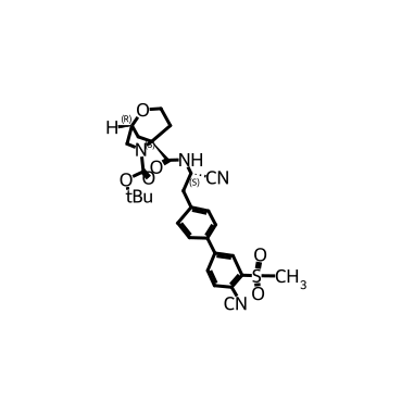 CC(C)(C)OC(=O)N1C[C@H]2C[C@]1(C(=O)N[C@H](C#N)Cc1ccc(-c3ccc(C#N)c(S(C)(=O)=O)c3)cc1)CCO2